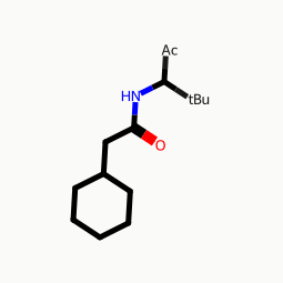 CC(=O)C(NC(=O)CC1CCCCC1)C(C)(C)C